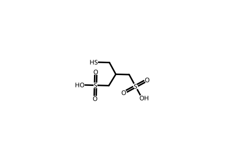 O=S(=O)(O)CC(CS)CS(=O)(=O)O